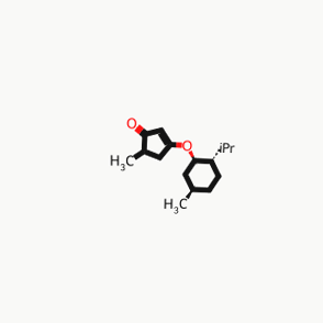 CC1CC(O[C@@H]2C[C@H](C)CC[C@H]2C(C)C)=CC1=O